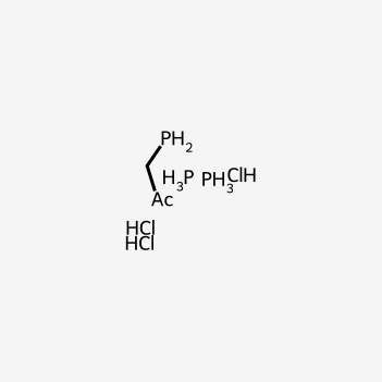 CC(=O)CP.Cl.Cl.Cl.P.P